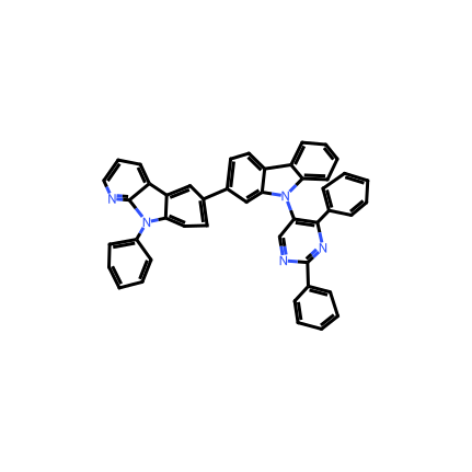 c1ccc(-c2ncc(-n3c4ccccc4c4ccc(-c5ccc6c(c5)c5cccnc5n6-c5ccccc5)cc43)c(-c3ccccc3)n2)cc1